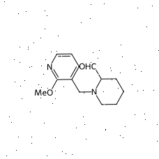 COc1ncccc1CN1CCCCC1C=O